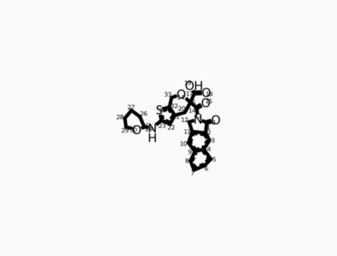 O=C1c2cc3ccccc3cc2CN1C(=O)C1(C(=O)O)Cc2cc(NC3CCCCO3)sc2CO1